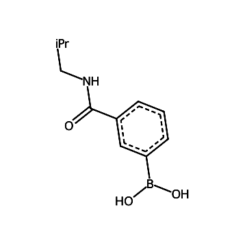 CC(C)CNC(=O)c1cccc(B(O)O)c1